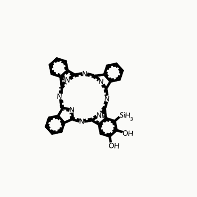 Oc1cc2c3nc4nc(nc5[nH]c(nc6nc(nc([nH]3)c2c([SiH3])c1O)-c1ccccc1-6)c1ccccc51)-c1ccccc1-4